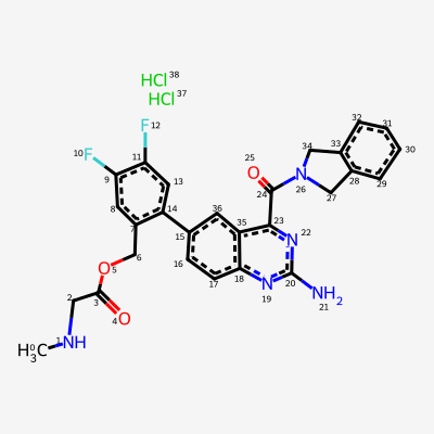 CNCC(=O)OCc1cc(F)c(F)cc1-c1ccc2nc(N)nc(C(=O)N3Cc4ccccc4C3)c2c1.Cl.Cl